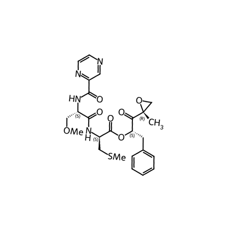 COC[C@H](NC(=O)c1cnccn1)C(=O)N[C@H](CSC)C(=O)O[C@@H](Cc1ccccc1)C(=O)[C@@]1(C)CO1